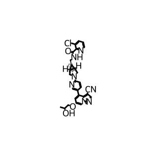 CC(O)COc1cc(-c2ccc(N3C[C@@H]4[C@@H](CNC(=O)c5ncccc5Cl)[C@@H]4C3)nc2)c2c(C#N)cnn2c1